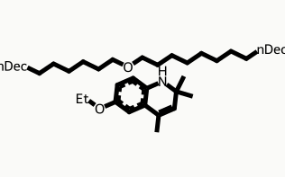 CCCCCCCCCCCCCCCCCCOCCCCCCCCCCCCCCCC.CCOc1ccc2c(c1)C(C)=CC(C)(C)N2